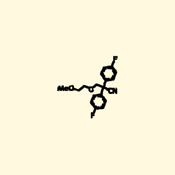 COCCOCC(C#N)(c1ccc(F)cc1)c1ccc(F)cc1